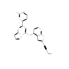 Cc1cccc(-c2cc(Nc3ccnc4[nH]c(C#C[C@@H](C)O)cc34)n3nccc3n2)n1